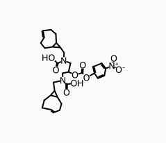 O=C(Oc1ccc([N+](=O)[O-])cc1)OC(CN(CC1C2CC/C=C/CCC21)C(=O)O)CN(CC1C2CC/C=C/CCC21)C(=O)O